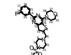 CS(=O)(=O)N1CCN(CC2Cc3nc(-c4cccc(F)c4)nc(N4CCOCC4)c3S2)CC1